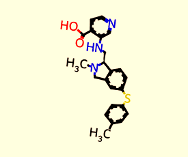 Cc1ccc(Sc2ccc3c(c2)CN(C)[C@H]3CNc2cnccc2C(=O)O)cc1